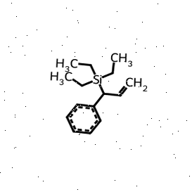 C=CC(c1ccccc1)[Si](CC)(CC)CC